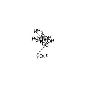 CCCCCCCC/C=C\CCCCCCCC(=O)OC(CO)COP(=O)(O)OC(O)(C[N+](C)(C)C)C(=O)C(N)CCCCN